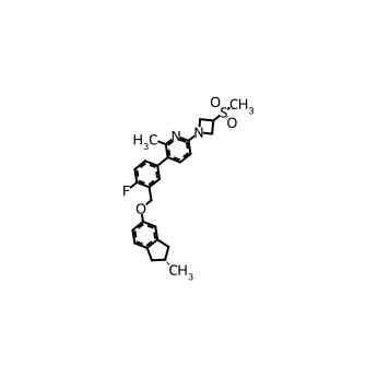 Cc1nc(N2CC(S(C)(=O)=O)C2)ccc1-c1ccc(F)c(COc2ccc3c(c2)C[C@H](C)C3)c1